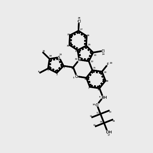 Cc1cc(C2Oc3cc(BOC(C)(C)C(C)(C)O)cc(F)c3-c3c(Cl)c4cc(Cl)ccc4n32)sc1C